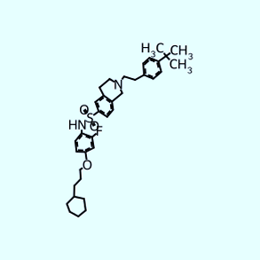 CC(C)(C)c1ccc(CCN2CCc3cc(S(=O)(=O)Nc4ccc(OCCCC5CCCCC5)cc4F)ccc3C2)cc1